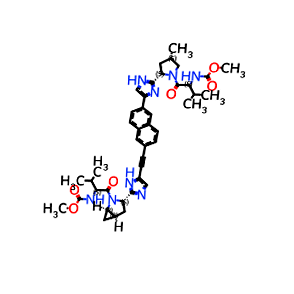 COC(=O)N[C@H](C(=O)N1C[C@@H](C)C[C@H]1c1nc(-c2ccc3cc(C#Cc4cnc([C@@H]5C[C@H]6C[C@H]6N5C(=O)[C@@H](NC(=O)OC)C(C)C)[nH]4)ccc3c2)c[nH]1)C(C)C